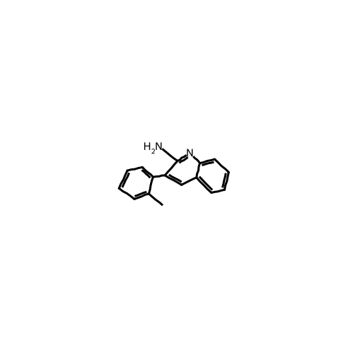 Cc1ccccc1-c1cc2ccccc2nc1N